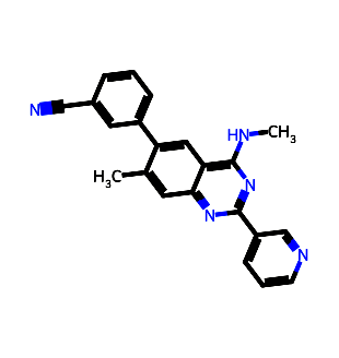 CNc1nc(-c2cccnc2)nc2cc(C)c(-c3cccc(C#N)c3)cc12